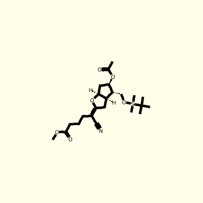 COC(=O)CCC/C(C#N)=C1/C[C@@H]2[C@@H](CO[Si](C)(C)C(C)(C)C)[C@H](OC(C)=O)C[C@@H]2O1